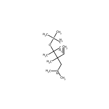 C=CC(C)(C[SiH](C)C)C(C)(C)O[Si](C)(C)C